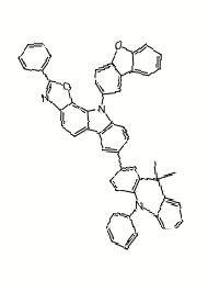 CC1(C)c2ccccc2N(c2ccccc2)c2ccc(-c3ccc4c(c3)c3ccc5nc(-c6ccccc6)oc5c3n4-c3ccc4oc5ccccc5c4c3)cc21